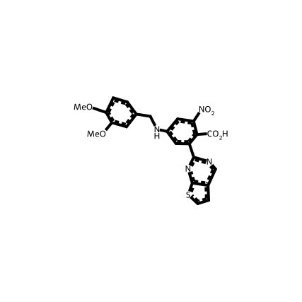 COc1ccc(CNc2cc(-c3ncc4ccsc4n3)c(C(=O)O)c([N+](=O)[O-])c2)cc1OC